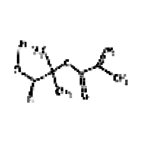 C=C(C)C(=O)OC(C)(C)[C@@H](CC)OC(C)C